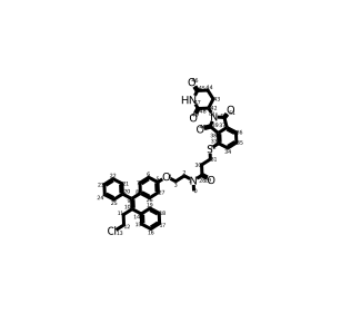 CN(CCOc1ccc(C(=C(CCCl)c2ccccc2)c2ccccc2)cc1)C(=O)CCSc1cccc2c1C(=O)N(C1CCC(=O)NC1=O)C2=O